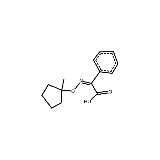 CC1(O/N=C(\C(=O)O)c2ccccc2)CCCC1